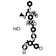 CN(CCC(CSc1ccccc1)Nc1ccc(S(=O)(=O)NC(=O)c2ccc(N3CCN(CC4=C(c5ccc(Cl)cc5)CCC(C)(CN5CCNCC5)C4)CC3)cc2)cc1[N+](=O)[O-])C1CC1.Cl